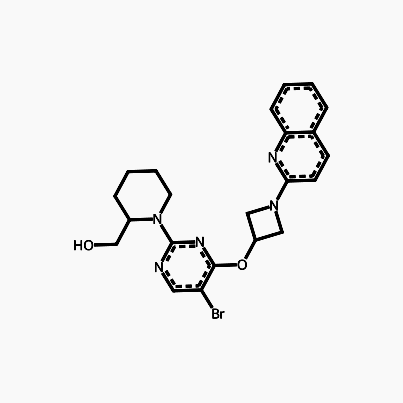 OCC1CCCCN1c1ncc(Br)c(OC2CN(c3ccc4ccccc4n3)C2)n1